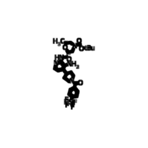 C[C@@H]1CN(C(=O)OC(C)(C)C)C[C@H](C(=O)Nc2nccc(C3CCN(C(=O)c4ccc([SH](F)(F)(F)F)cc4)CC3)c2N)O1